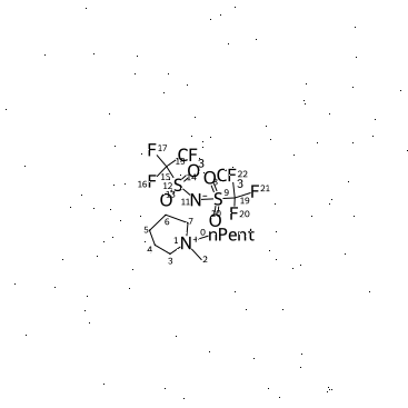 CCCCC[N+]1(C)CCCCC1.O=S(=O)([N-]S(=O)(=O)C(F)(F)C(F)(F)F)C(F)(F)C(F)(F)F